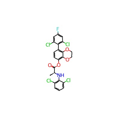 C[C@H](Nc1c(Cl)cccc1Cl)C(=O)Oc1ccc(-c2c(Cl)cc(F)cc2Cl)c2c1OCCO2